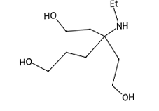 CCNC(CCO)(CCO)CCCO